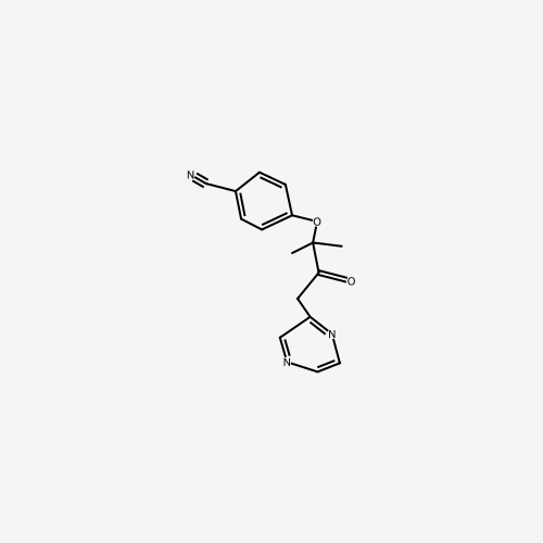 CC(C)(Oc1ccc(C#N)cc1)C(=O)Cc1cnccn1